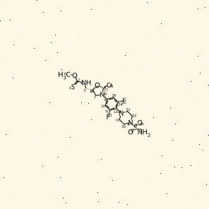 COC(=S)NC[C@H]1CN(c2cc(F)c(N3CCN(S(N)(=O)=O)CC3)c(F)c2)C(=O)O1